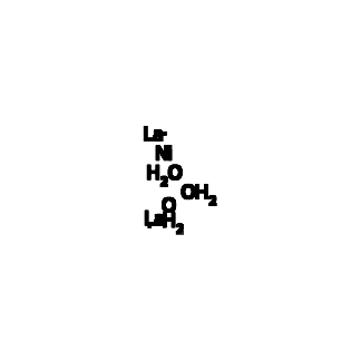 O.O.O.[La].[La].[Ni]